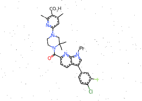 Cc1cc(N2CCN(C(=O)c3ccc4c(-c5ccc(Cl)c(F)c5)cn(C(C)C)c4n3)C(C)(C)C2)nc(C)c1C(=O)O